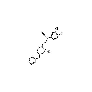 Cl.N#CC(CCN1CCC(Cc2ccccc2)CC1)c1ccc(Cl)c(Cl)c1